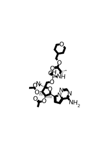 CC(=O)O[C@H]1[C@H](c2ccc3c(N)ncnn23)O[C@](C#N)(CO[PH](=O)N[C@@H](C)C(=O)OCC2CCOCC2)[C@H]1OC(C)=O